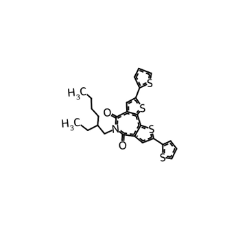 CCCCC(CC)Cn1c(=O)c2cc(-c3cccs3)sc2c2sc(-c3cccs3)cc2c1=O